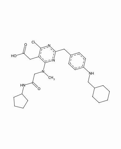 CN(CC(=O)NC1CCCC1)c1nc(Cc2ccc(NCC3CCCCC3)cc2)nc(Cl)c1CC(=O)O